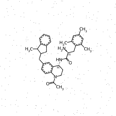 CC(=O)N1CC[C@@H](NC(=O)[C@@H](N)Cc2c(C)cc(C)cc2C)c2cc(CC3Cc4ccccc4C3C)ccc21